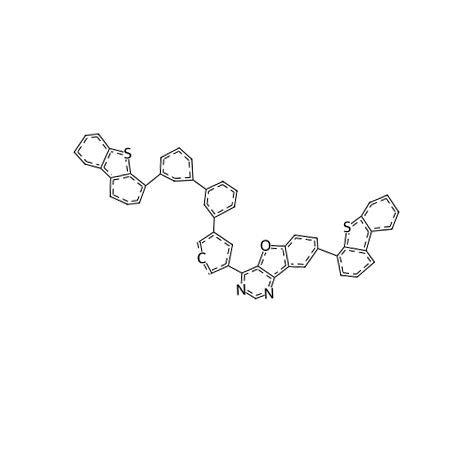 c1cc(-c2cccc(-c3ncnc4c3oc3ccc(-c5cccc6c5sc5ccccc56)cc34)c2)cc(-c2cccc(-c3cccc4c3sc3ccccc34)c2)c1